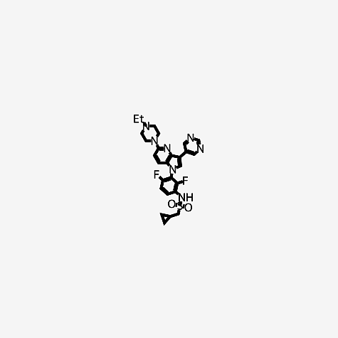 CCN1CCN(c2ccc3c(n2)c(-c2cncnc2)cn3-c2c(F)ccc(NS(=O)(=O)CC3CC3)c2F)CC1